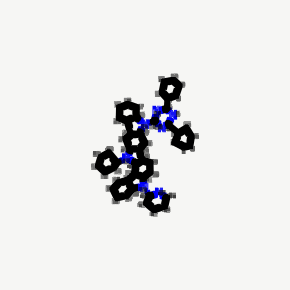 c1ccc(-c2nc(-c3ccccc3)nc(-n3c4ccccc4c4cc5c(cc43)c3ccc4c(c6ccccc6n4-c4ccccn4)c3n5-c3ccccc3)n2)cc1